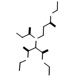 CCOC(=O)CCN(C(=O)CCl)C(C(=O)OCC)C(=O)OCC